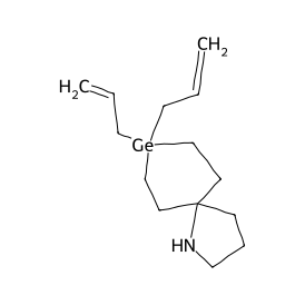 C=C[CH2][Ge]1([CH2]C=C)[CH2]CC2(CCCN2)C[CH2]1